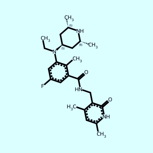 CCN(c1cc(F)cc(C(=O)NCc2c(C)cc(C)[nH]c2=O)c1C)[C@@H]1C[C@@H](C)N[C@@H](C)C1